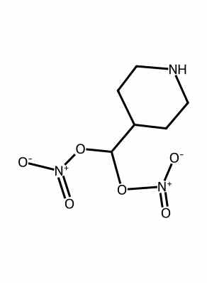 O=[N+]([O-])OC(O[N+](=O)[O-])C1CCNCC1